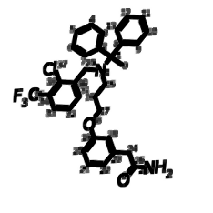 CC(c1ccccc1)(c1ccccc1)N(CCCOc1cccc(CC(N)=O)c1)Cc1cccc(C(F)(F)F)c1Cl